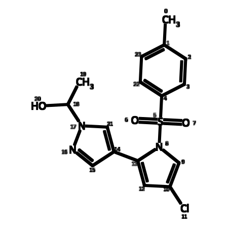 Cc1ccc(S(=O)(=O)n2cc(Cl)cc2-c2cnn(C(C)O)c2)cc1